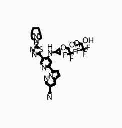 N#Cc1cnn2c(-c3cc(NC4CC4)c(-c4nnc(N5CC6CCC(C5)N6)s4)cn3)ccc2c1.O=C(O)C(F)(F)F.O=C(O)C(F)(F)F